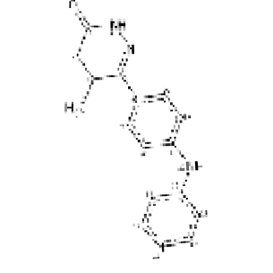 CC1CC(=O)NN=C1c1ccc(Nc2ccncc2)cc1